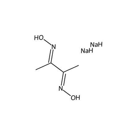 CC(=N\O)/C(C)=N/O.[NaH].[NaH]